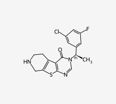 C[C@H](c1cc(F)cc(Cl)c1)n1cnc2sc3c(c2c1=O)CCNC3